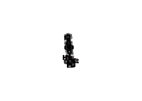 CCn1c(=O)c2[nH]c(-c3ccc(S(=O)(=O)N4CCN(c5ccccn5)CC4)cc3)cc2n(CC)c1=O